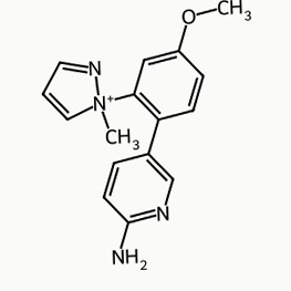 COc1ccc(-c2ccc(N)nc2)c([N+]2(C)C=CC=N2)c1